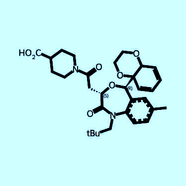 Cc1ccc2c(c1)[C@H](C13C=CC=CC1OCCO3)O[C@@H](CC(=O)N1CCC(C(=O)O)CC1)C(=O)N2CC(C)(C)C